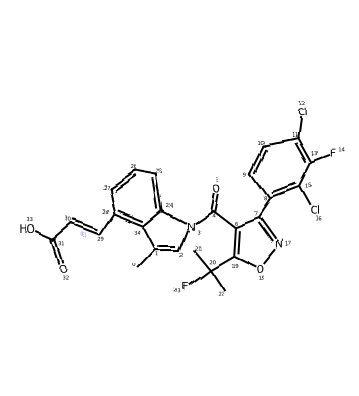 Cc1cn(C(=O)c2c(-c3ccc(Cl)c(F)c3Cl)noc2C(C)(C)F)c2cccc(/C=C/C(=O)O)c12